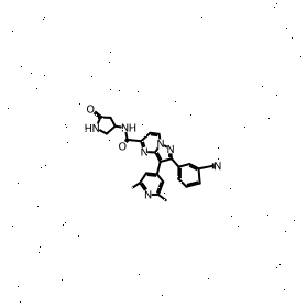 Cc1cc(-c2c(-c3cccc(C#N)c3)nn3ccc(C(=O)NC4CNC(=O)C4)nc23)cc(C)n1